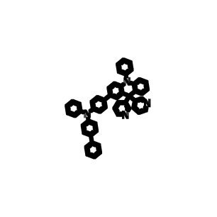 c1ccc(-c2ccc(N(c3ccccc3)c3ccc(-c4ccc5c(c4)C(c4cccnc4)(c4cccnc4)c4ccccc4N5c4ccccc4)cc3)cc2)cc1